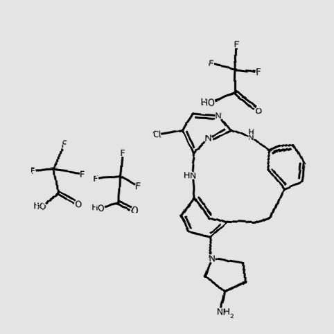 NC1CCN(c2ccc3cc2CCc2cccc(c2)Nc2ncc(Cl)c(n2)N3)C1.O=C(O)C(F)(F)F.O=C(O)C(F)(F)F.O=C(O)C(F)(F)F